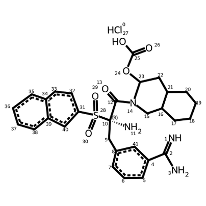 Cl.N=C(N)c1cccc(C[C@](N)(C(=O)N2CC3CCCCC3CC2OC(=O)O)S(=O)(=O)c2ccc3ccccc3c2)c1